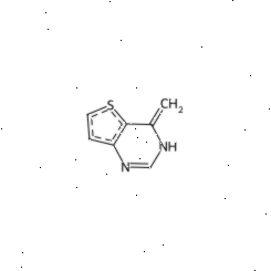 C=C1NC=Nc2ccsc21